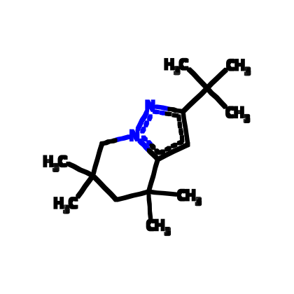 CC1(C)Cn2nc(C(C)(C)C)cc2C(C)(C)C1